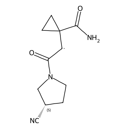 N#C[C@H]1CCN(C(=O)[CH]C2(C(N)=O)CC2)C1